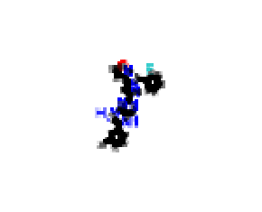 C=C(Nc1cnc(-c2cc(-c3ccon3)n(Cc3ccccc3F)n2)nc1N)c1cccc(C)c1